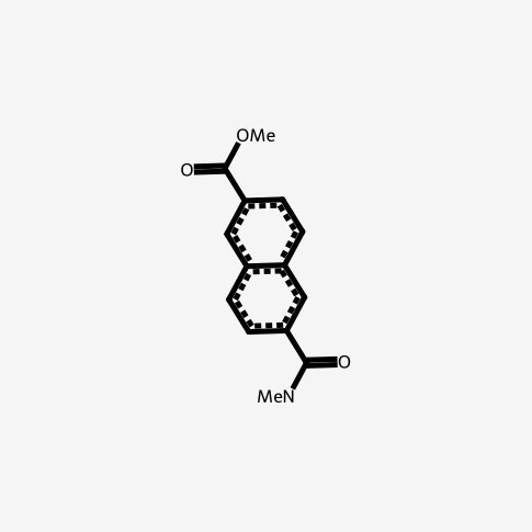 CNC(=O)c1ccc2cc(C(=O)OC)ccc2c1